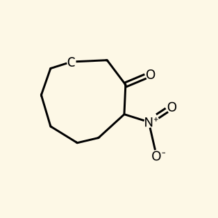 O=C1CCCCCCCC1[N+](=O)[O-]